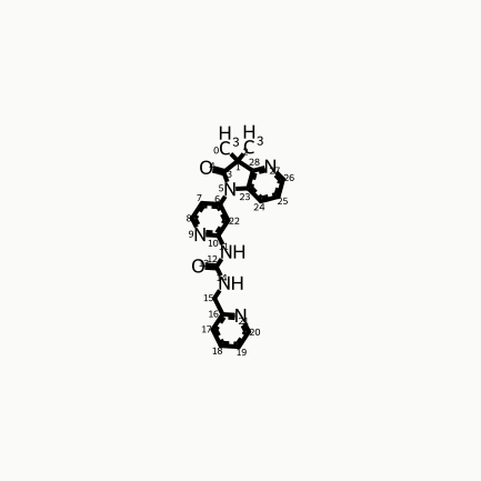 CC1(C)C(=O)N(c2ccnc(NC(=O)NCc3ccccn3)c2)c2cccnc21